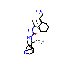 NCCC1CCCC[C@@H]1C(NC(=O)NC(C(=O)O)[C@H]1CN2CCC1CC2)C(=O)O